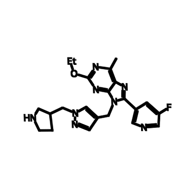 CCOc1nc(C)c2nc(-c3cncc(F)c3)n(Cc3cnn(CC4CCNC4)c3)c2n1